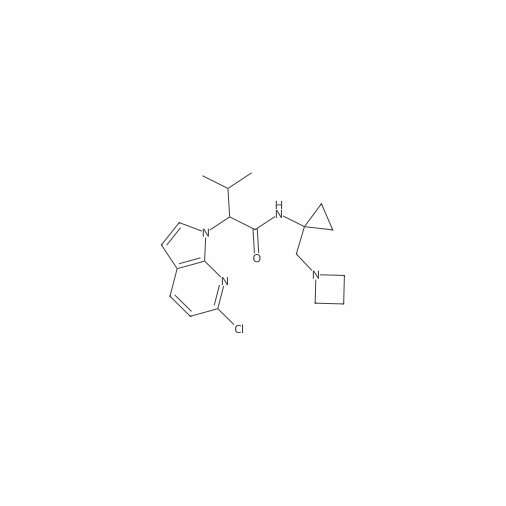 CC(C)C(C(=O)NC1(CN2CCC2)CC1)n1ccc2ccc(Cl)nc21